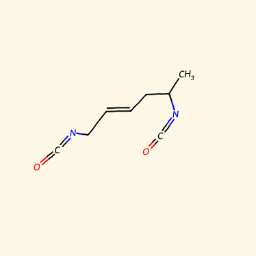 CC(CC=CCN=C=O)N=C=O